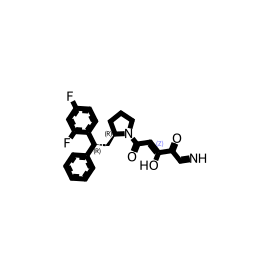 N=CC(=O)/C(O)=C/C(=O)N1CCC[C@@H]1C[C@H](c1ccccc1)c1ccc(F)cc1F